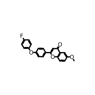 COc1ccc2oc(-c3ccc(Oc4ccc(F)cc4)cc3)cc(=O)c2c1